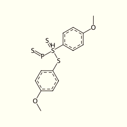 COc1ccc(S[SH](=S)(P=S)c2ccc(OC)cc2)cc1